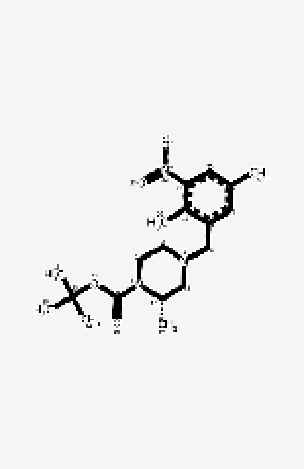 Cc1cc(CN2CCN(C(=O)OC(C)(C)C)[C@@H](C)C2)c(C)c([N+](=O)[O-])c1